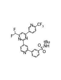 CC(C)(C)NS(=O)(=O)c1cccc(-c2cc(-c3nc(-c4ccc(C(F)(F)F)nc4)cc(C(F)F)n3)ccn2)c1